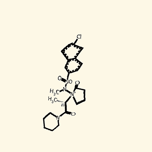 C[C@@H](C(=O)N1CCCCC1)[N+]1(N(C)S(=O)(=O)c2ccc3cc(Cl)ccc3c2)CCCC1=O